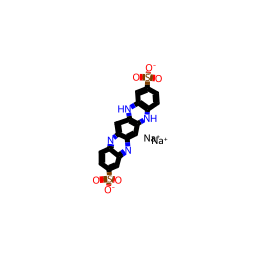 O=S(=O)([O-])c1ccc2c(c1)Nc1cc3nc4ccc(S(=O)(=O)[O-])cc4nc3cc1N2.[Na+].[Na+]